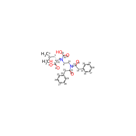 CC(C)C[C@@H](C(=O)O)N(CCN(C(=O)Cc1ccccc1)C(=O)Cc1ccccc1)C(=O)O